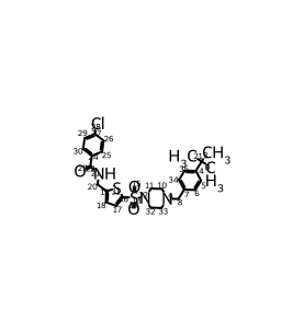 CC(C)(C)c1ccc(CN2CCN(S(=O)(=O)c3ccc(CNC(=O)c4ccc(Cl)cc4)s3)CC2)cc1